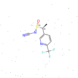 C[C@@H](c1ccc(C(F)(F)F)nc1)[S@](C)(=O)=NC#N